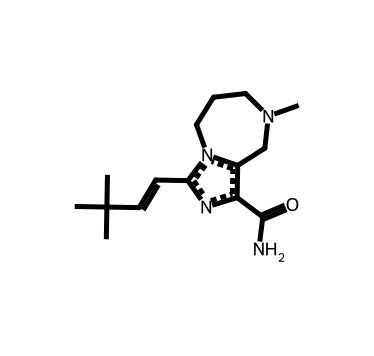 CN1CCCn2c(/C=C/C(C)(C)C)nc(C(N)=O)c2C1